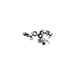 CC1(NS(=O)(=O)c2cc(N3CCO[C@H](C(=O)N4CC5(COC5)C4)C3)c3cnc(-c4nnc(C(F)F)s4)n3c2)CC1